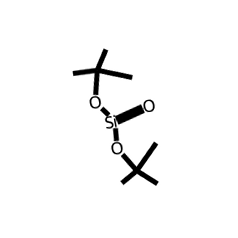 CC(C)(C)O[Si](=O)OC(C)(C)C